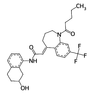 CCCCC(=O)N1CCCC(=CC(=O)Nc2cccc3c2CC(O)CC3)c2ccc(C(F)(F)F)cc21